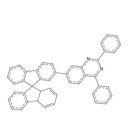 C1=CC2c3ccccc3C3(c4ccccc4-c4ccc(-c5ccc6c(-c7ccccc7)nc(-c7ccccc7)nc6c5)cc43)C2C=C1